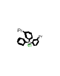 CC(C)c1cccc([Si](Cl)(c2ccccc2)c2cccc(C(C)C)c2)c1